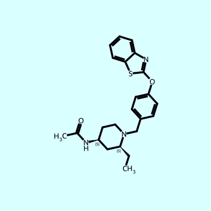 CC[C@H]1C[C@@H](NC(C)=O)CCN1Cc1ccc(Oc2nc3ccccc3s2)cc1